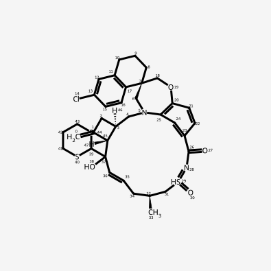 C=C1C[C@H]2CN3C[C@@]4(CCCc5cc(Cl)ccc54)COc4ccc(cc43)C(=O)/N=[SH](=O)\C[C@@H](C)C/C=C/C(O)(C3SCCCS3)[C@H]12